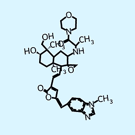 CC(NC1CC2[C@](C)(CC[C@@H](O)[C@@]2(C)CO)C(/C=C/C2=CC(=C\c3ccc4c(c3)ncn4C)/OC2=O)C12CO2)C(=O)N1CCOCC1